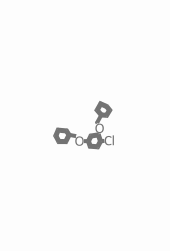 Clc1ccc(OCc2ccccc2)cc1OCc1ccccc1